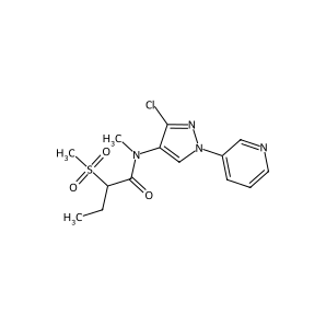 CCC(C(=O)N(C)c1cn(-c2cccnc2)nc1Cl)S(C)(=O)=O